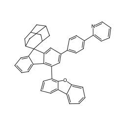 c1ccc(-c2ccc(-c3cc(-c4cccc5c4oc4ccccc45)c4c(c3)C3(c5ccccc5-4)C4CC5CC(C4)CC3C5)cc2)nc1